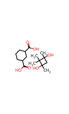 CC1(O)CC(C)(O)C1(C)C.O=C(O)C1CCCC(C(=O)O)C1